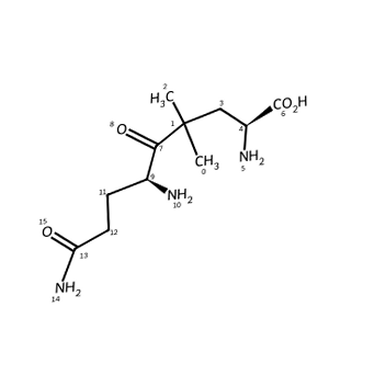 CC(C)(C[C@H](N)C(=O)O)C(=O)[C@@H](N)CCC(N)=O